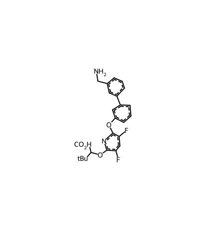 CC(C)(C)C(Oc1nc(Oc2cccc(-c3cccc(CN)c3)c2)c(F)cc1F)C(=O)O